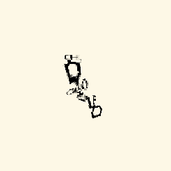 Cc1ccc(S(=O)(=O)OCCC2(F)CCCCC2)cc1